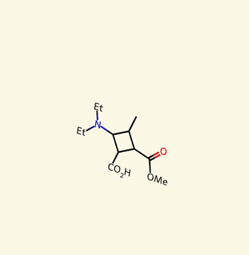 CCN(CC)C1C(C)C(C(=O)OC)C1C(=O)O